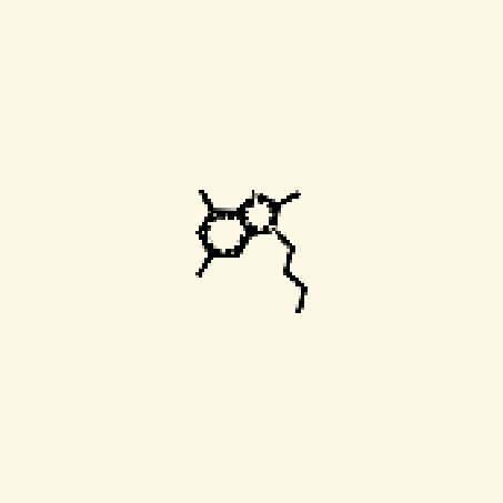 CCCCn1c(C)nc2c(C)cc(C)cc21